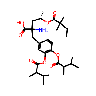 CCC(C)(C)C(=O)O[C@@H](C)CC(N)(Cc1ccc(OC(=O)C(C)C(C)C)c(OC(=O)C(C)C(C)C)c1)C(=O)O